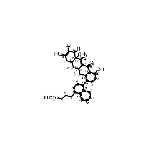 CCOC(=O)CCCc1ccc(-c2ccc(O)c3c2C[C@@]2(C)C[C@@]4(C)CC(O)=C(C(C)=O)C(=O)[C@]4(O)C(O)=C2C3=O)c2ccccc12